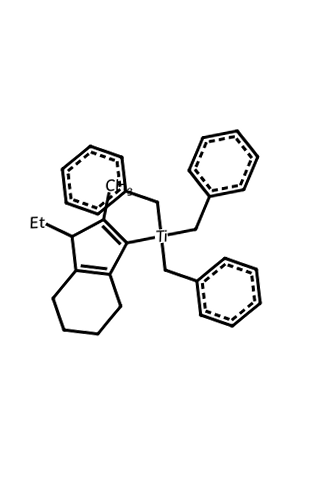 CCC1C(C)=[C]([Ti]([CH2]c2ccccc2)([CH2]c2ccccc2)[CH2]c2ccccc2)C2=C1CCCC2